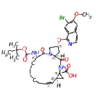 COc1cc2ccnc(O[C@@H]3C[C@H]4C(=O)N[C@]5(C(=O)O)C[C@H]5/C=C\CCCCC[C@H](NC(=O)OC(C)(C)C)C(=O)N4C3)c2cc1Br